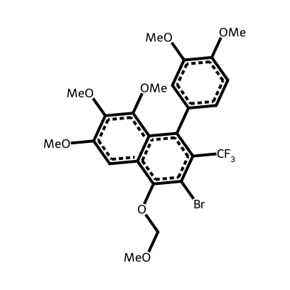 COCOc1c(Br)c(C(F)(F)F)c(-c2ccc(OC)c(OC)c2)c2c(OC)c(OC)c(OC)cc12